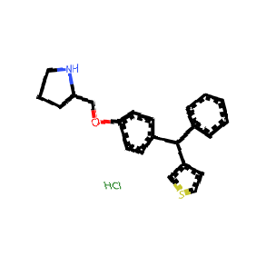 Cl.c1ccc(C(c2ccc(OCC3CCCN3)cc2)c2ccsc2)cc1